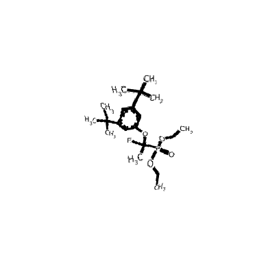 CCOP(=O)(OCC)C(C)(F)Oc1cc(C(C)(C)C)cc(C(C)(C)C)c1